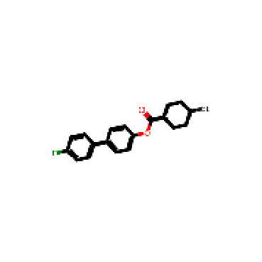 CCC1CCC(C(=O)Oc2ccc(-c3ccc(F)cc3)cc2)CC1